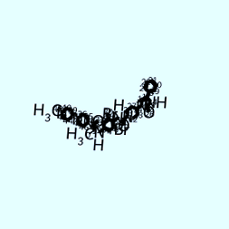 C[C@H](Nc1cc(Br)c(NC(=O)N2CCC(n3cc(-c4ccccc4)[nH]c3=O)CC2)c(Br)c1)C(=O)N1CCN(C2CCN(C)CC2)CC1